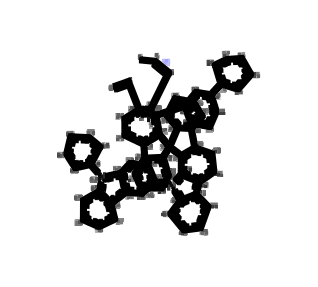 C=Cc1c(/C=C\C)n(-c2cccc(-c3ccccc3)c2)c2c3c(ccc12)-c1ccccc1C31c2ccccc2-c2ccc3c4ccccc4n(-c4ccc5c(c4)c4ccccc4n5-c4ccccc4)c3c21